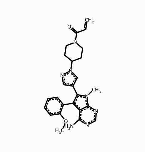 C=CC(=O)N1CCC(n2cc(-c3c(-c4ccccc4OC)c4c(N)ncnc4n3C)cn2)CC1